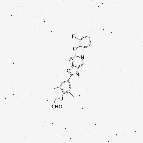 Cc1cc(-c2nc3cnc(Oc4ccccc4F)nc3o2)cc(C)c1OC[C]=O